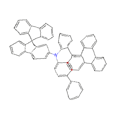 c1ccc(-c2ccc(N(c3ccc4c(c3)C3(c5ccccc5-c5ccccc53)c3ccccc3-4)c3ccccc3-c3cccc4c5ccccc5c5ccccc5c34)cc2)cc1